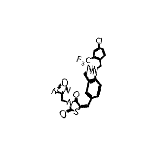 O=C1SC(=Cc2ccc3c(cnn3Cc3ccc(Cl)cc3C(F)(F)F)c2)C(=O)N1Cc1ncon1